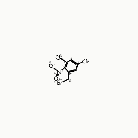 O=[N+]([O-])c1c(Cl)cc(Cl)cc1CBr